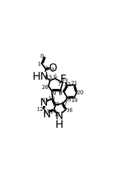 C=CC(=O)NC1CCC=C(c2ncnc3[nH]cc(-c4cccc(F)c4)c23)C1